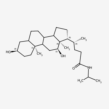 CC(C)NC(=O)CC[C@@H](C)[C@H]1CCC2C3CCC4C[C@H](O)CC[C@]4(C)C3C[C@H](O)[C@@]21C